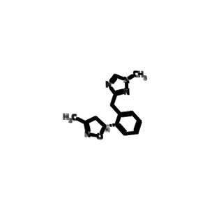 CC1=NO[C@@H](c2ccccc2Cc2ncn(C)n2)C1